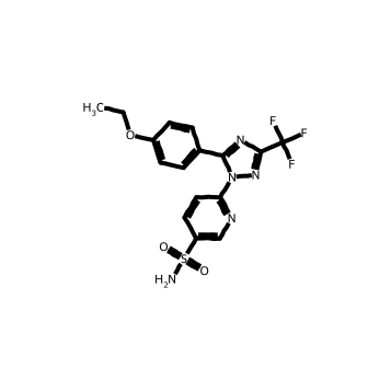 CCOc1ccc(-c2nc(C(F)(F)F)nn2-c2ccc(S(N)(=O)=O)cn2)cc1